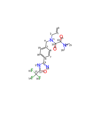 C=CCN(Cc1ccc(-c2noc(C(F)(F)F)n2)cc1)C(=O)C(=O)N(C)C